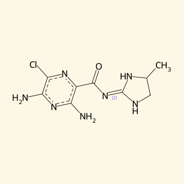 CC1CN/C(=N/C(=O)c2nc(Cl)c(N)nc2N)N1